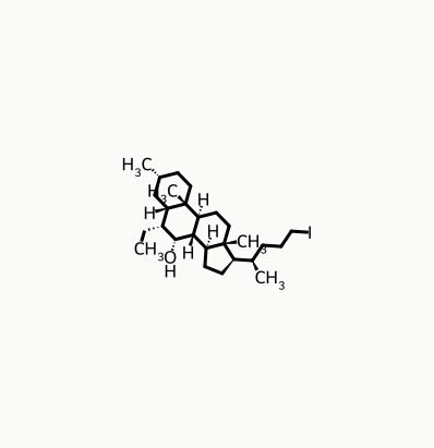 CC[C@H]1[C@@H](O)[C@@H]2[C@H](CC[C@]3(C)[C@@H]([C@H](C)CCCI)CC[C@@H]23)[C@@]2(C)CC[C@@H](C)C[C@@H]12